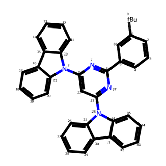 CC(C)(C)c1cccc(-c2nc(-n3c4ccccc4c4ccccc43)cc(-n3c4ccccc4c4ccccc43)n2)c1